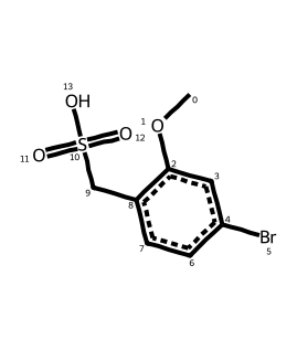 COc1cc(Br)ccc1CS(=O)(=O)O